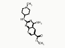 COC(=O)c1cnc2nc(NC3CCN(C)CC3)nc(N)c2c1